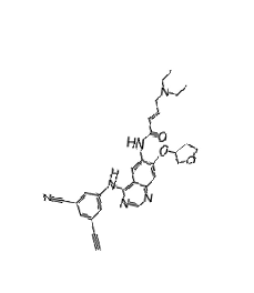 C#Cc1cc(C#N)cc(Nc2ncnc3cc(OC4CCOC4)c(NC(=O)C=CCN(CC)CC)cc23)c1